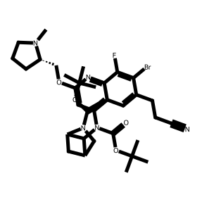 CN1CCC[C@H]1COc1cc(N(C(=O)OC(C)(C)C)C2C3CC2N(C(=O)OC(C)(C)C)C3)c2cc(CCC#N)c(Br)c(F)c2n1